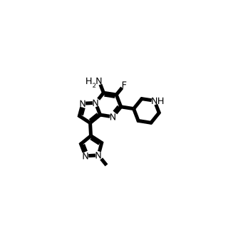 Cn1cc(-c2cnn3c(N)c(F)c(C4CCCNC4)nc23)cn1